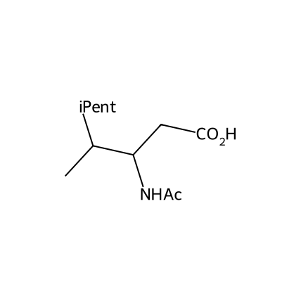 CCCC(C)C(C)C(CC(=O)O)NC(C)=O